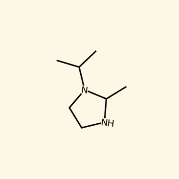 CC(C)N1CCNC1C